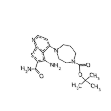 CC(C)(C)OC(=O)N1CCCN(c2ccnc3sc(C(N)=O)c(N)c23)CC1